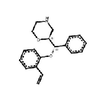 C=Cc1ccccc1O[C@@H](c1ccccc1)[C@@H]1CNCCO1